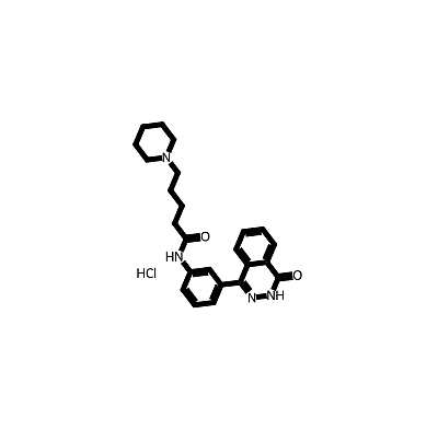 Cl.O=C(CCCCN1CCCCC1)Nc1cccc(-c2n[nH]c(=O)c3ccccc23)c1